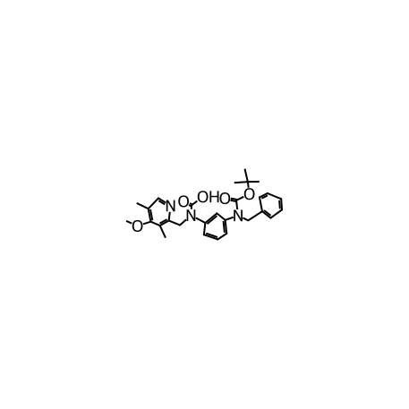 COc1c(C)cnc(CN(C(=O)O)c2cccc(N(Cc3ccccc3)C(=O)OC(C)(C)C)c2)c1C